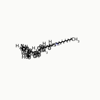 CCCCCCCCCC/C=C/SCCNC(=O)CCNC(=O)C(O)C(C)(C)COP(=O)(O)OP(=O)(O)OC[C@H]1O[C@@H](n2cnc3c(N)ncnc32)[C@H](O)[C@@H]1OP(=O)(O)O